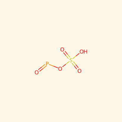 O=POS(=O)(=O)O